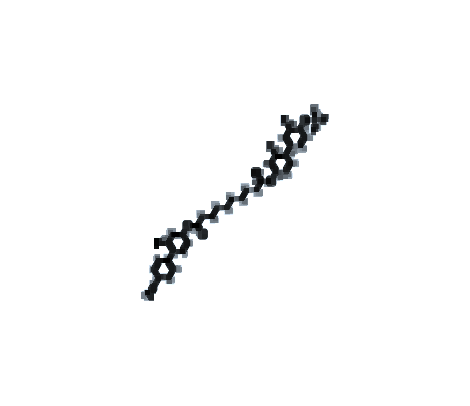 N#Cc1ccc(-c2ccc(OC(=O)CCCCCCCCC(=O)Oc3ccc(-c4ccc(OC(F)(F)F)c(F)c4)c(F)c3)cc2F)cc1